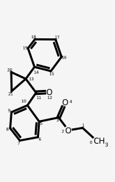 CCOC(=O)c1ccccc1C(=O)C1(c2ccccc2)CC1